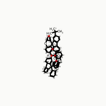 CC(C)(C)c1ccc2c(c1)C1(c3ccccc3Oc3ccc(N(c4ccc5c(c4)C4(c6ccccc6Oc6ccccc64)c4ccccc4-5)c4cccc5sc6ccccc6c45)cc31)c1cc(C(C)(C)C)ccc1-2